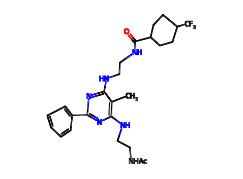 CC(=O)NCCNc1nc(-c2ccccc2)nc(NCCNC(=O)C2CCC(C(F)(F)F)CC2)c1C